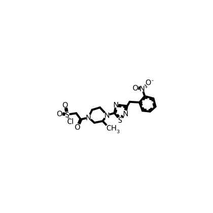 CC1CN(C(=O)CS(=O)(=O)Cl)CCN1c1nc(Cc2ccccc2[N+](=O)[O-])ns1